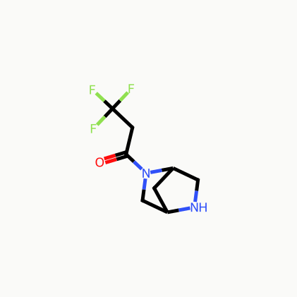 O=C(CC(F)(F)F)N1CC2CC1CN2